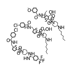 CCCCCCNC1CCN(S(=O)(=O)c2sc(CNC(=O)c3cccc(OC)c3)c(CC)c2C(=O)O)CC1.CCCCCCNC1C[C@@H](C(=O)O)N(S(=O)(=O)c2ccc(CNC(=O)c3ccc(Cl)cc3)s2)C1.N=C(NC1CCN(S(=O)(=O)c2ccc(CNC(=O)c3ccc(Cl)cc3)s2)CC1)c1ccc(C(F)(F)F)cc1